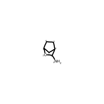 NC1OC2CCC1C2